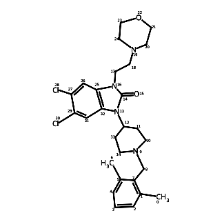 Cc1cccc(C)c1CN1CCC(n2c(=O)n(CCN3CCOCC3)c3cc(Cl)c(Cl)cc32)CC1